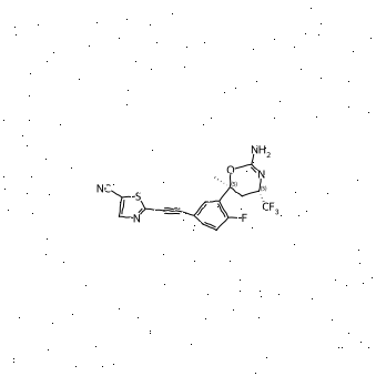 C[C@@]1(c2cc(C#Cc3ncc(C#N)s3)ccc2F)C[C@@H](C(F)(F)F)N=C(N)O1